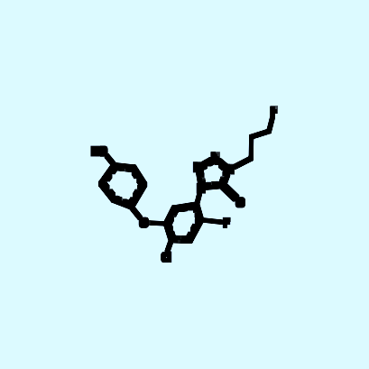 O=c1n(CCCF)nnn1-c1cc(Oc2ccc(O)cc2)c(Cl)cc1F